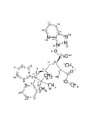 COC(=O)[C@@]1(C)CC[C@@H](O[Si](c2ccccc2)(c2ccccc2)C(C)(C)C)C[C@H]1C(=O)On1nnc2cccnc21